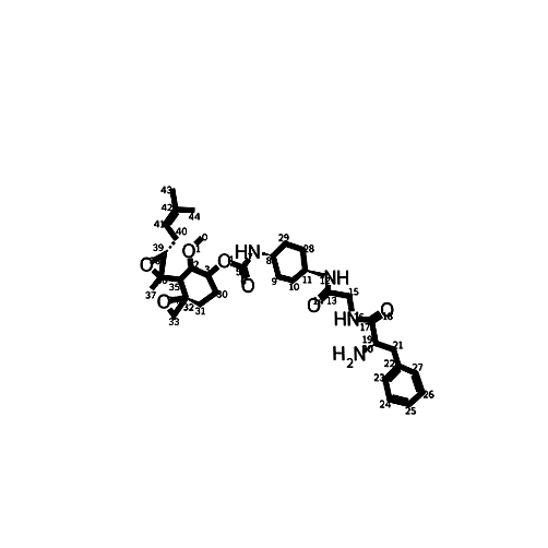 COC1C(OC(=O)N[C@H]2CC[C@H](NC(=O)CNC(=O)[C@@H](N)Cc3ccccc3)CC2)CC[C@]2(CO2)C1C1(C)O[C@@H]1CC=C(C)C